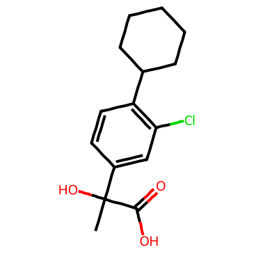 CC(O)(C(=O)O)c1ccc(C2CCCCC2)c(Cl)c1